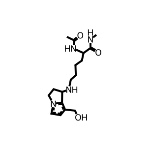 CNC(=O)C(CCCCNC1CCn2ccc(CO)c21)NC(C)=O